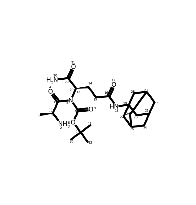 C[C@H](N)C(=O)N(C(=O)OC(C)(C)C)[C@H](CCC(=O)NC12CC3CC(CC(C3)C1)C2)C(N)=O